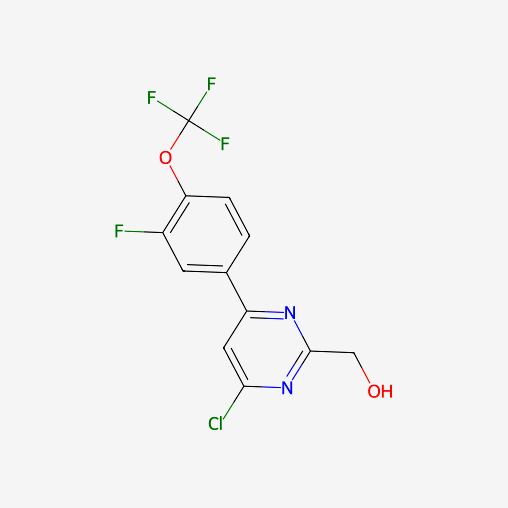 OCc1nc(Cl)cc(-c2ccc(OC(F)(F)F)c(F)c2)n1